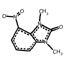 Cn1c(=O)n(C)c2c([N+](=O)[O-])cccc21